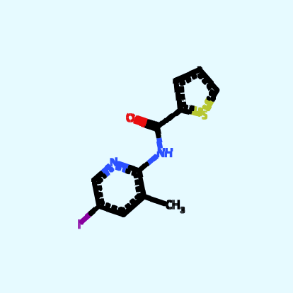 Cc1cc(I)cnc1NC(=O)c1cccs1